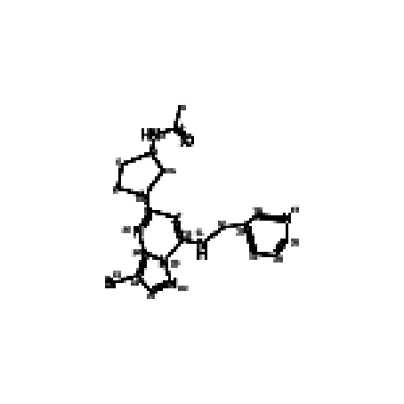 CC(=O)NC1CCN(c2cc(NCc3cccnc3)n3ncc(Br)c3n2)C1